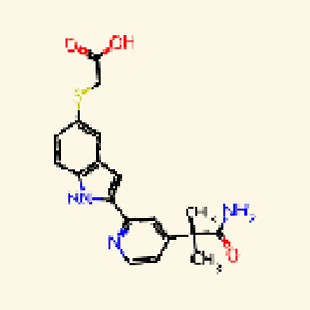 CC(C)(C(N)=O)c1ccnc(-c2cc3cc(SCC(=O)O)ccc3[nH]2)c1